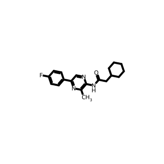 Cc1nc(-c2ccc(F)cc2)cnc1NC(=O)CC1CCCCC1